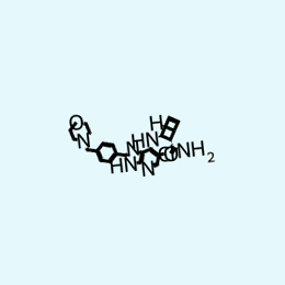 NC(=O)[C@H]1C2C=C[C@@H]2[C@H]1Nc1c(Cl)cnc2[nH]c(-c3ccc(CN4CCOCC4)cc3)nc12